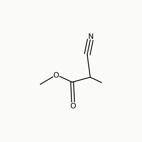 COC(=O)C(C)C#N